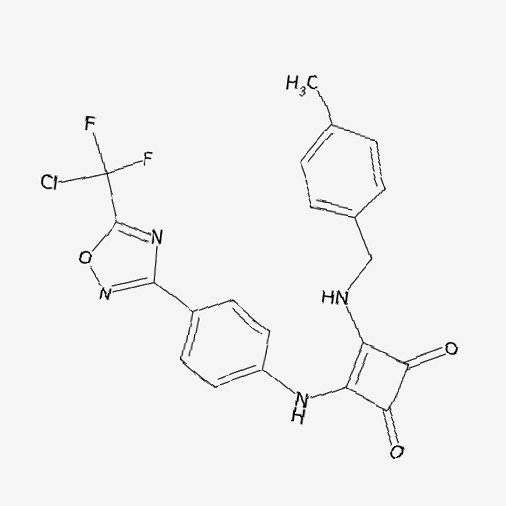 Cc1ccc(CNc2c(Nc3ccc(-c4noc(C(F)(F)Cl)n4)cc3)c(=O)c2=O)cc1